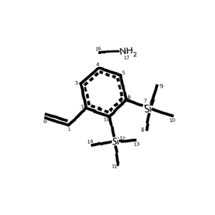 C=Cc1cccc([Si](C)(C)C)c1[Si](C)(C)C.CN